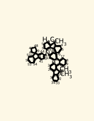 CC1(C)c2ccccc2-c2c(N(c3ccc(-c4ccccc4-c4cccc5c4C(C)(C)c4ccccc4-5)cc3)c3ccc4c(c3)C3(CCCC3)c3ccccc3-4)cccc21